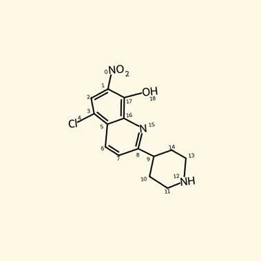 O=[N+]([O-])c1cc(Cl)c2ccc(C3CCNCC3)nc2c1O